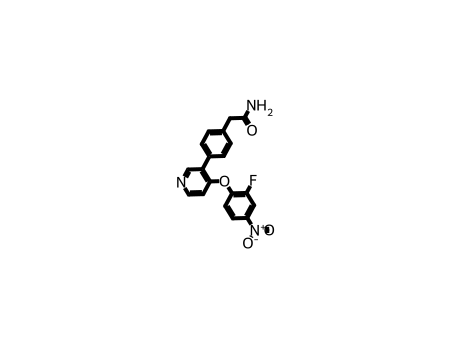 NC(=O)Cc1ccc(-c2cnccc2Oc2ccc([N+](=O)[O-])cc2F)cc1